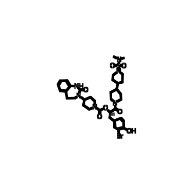 CN(C)S(=O)(=O)N1CCC(C2CCN(C(=O)[C@@H](Cc3ccc(O)c(Br)c3)OC(=O)N3CCC(N4CCc5ccccc5NC4=O)CC3)CC2)CC1